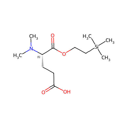 CN(C)[C@@H](CCC(=O)O)C(=O)OCC[Si](C)(C)C